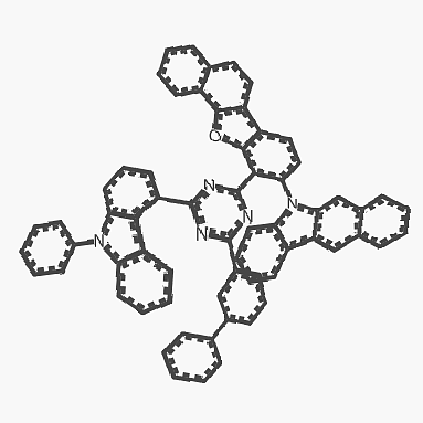 c1ccc(-c2cccc(-c3nc(-c4c(-n5c6ccccc6c6cc7ccccc7cc65)ccc5c4oc4c6ccccc6ccc54)nc(-c4cccc5c4c4ccccc4n5-c4ccccc4)n3)c2)cc1